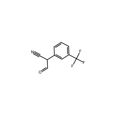 N#CC(C=O)c1cccc(C(F)(F)F)c1